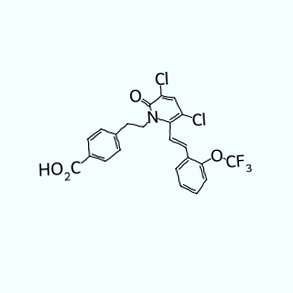 O=C(O)c1ccc(CCn2c(/C=C/c3ccccc3OC(F)(F)F)c(Cl)cc(Cl)c2=O)cc1